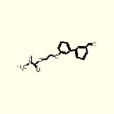 CNC(=O)OCCOc1cccc(-c2cccc(C=O)c2)c1